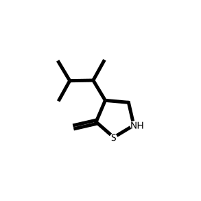 C=C1SNCC1C(C)C(C)C